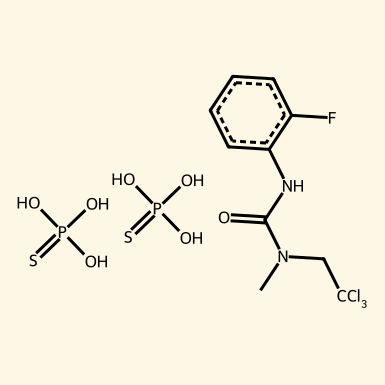 CN(CC(Cl)(Cl)Cl)C(=O)Nc1ccccc1F.OP(O)(O)=S.OP(O)(O)=S